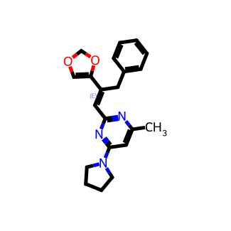 Cc1cc(N2CCCC2)nc(/C=C(\Cc2ccccc2)C2=COCO2)n1